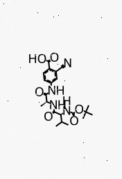 CC(C)[C@H](NC(=O)OC(C)(C)C)C(=O)N[C@@H](C)C(=O)Nc1ccc(C(=O)O)c(C#N)c1